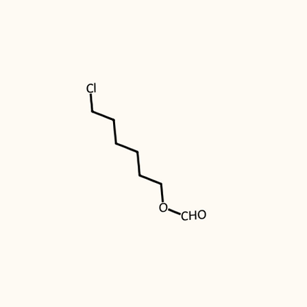 O=COCCCCCCCl